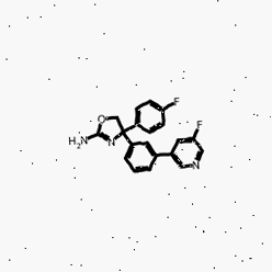 NC1=NC(c2ccc(F)cc2)(c2cccc(-c3cncc(F)c3)c2)CO1